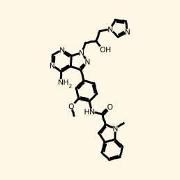 COc1cc(-c2nn(CC(O)Cn3ccnc3)c3ncnc(N)c23)ccc1NC(=O)c1cc2ccccc2n1C